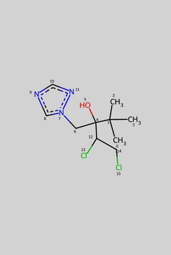 CC(C)(C)C(O)(Cn1cncn1)C(Cl)CCl